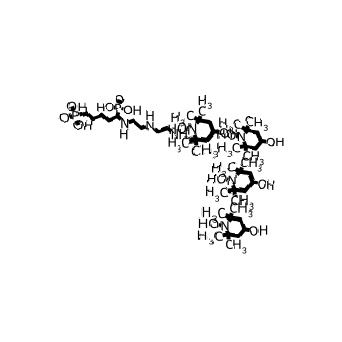 CC1(C)CC(O)CC(C)(C)N1O.CC1(C)CC(O)CC(C)(C)N1O.CC1(C)CC(O)CC(C)(C)N1O.CC1(C)CC(O)CC(C)(C)N1O.NCCNCCNC(CCCCP(=O)(O)O)P(=O)(O)O